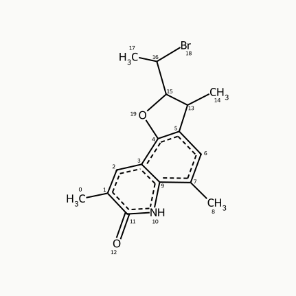 Cc1cc2c3c(cc(C)c2[nH]c1=O)C(C)C(C(C)Br)O3